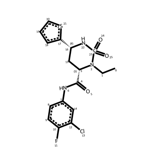 CCN1[C@H](C(=O)Nc2ccc(F)c(Cl)c2)C[C@H](c2cccs2)NS1(=O)=O